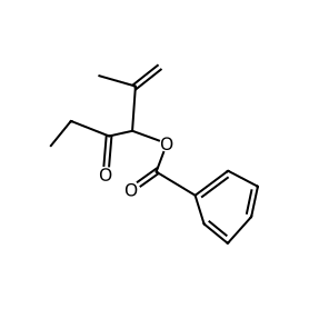 C=C(C)C(OC(=O)c1ccccc1)C(=O)CC